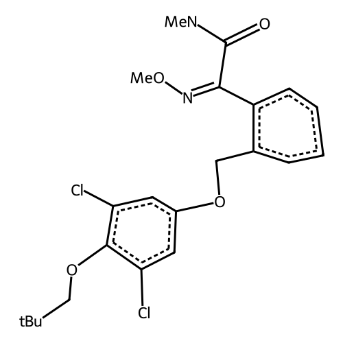 CNC(=O)C(=NOC)c1ccccc1COc1cc(Cl)c(OCC(C)(C)C)c(Cl)c1